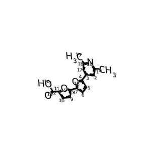 Cc1cc(-c2ccc(-c3ccc(C(=O)O)o3)o2)cc(C)n1